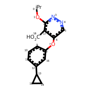 CC(C)Oc1nncc(Oc2cccc(C3CC3)c2)c1C(=O)O